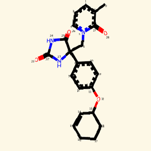 Cc1cccn(CC2(c3ccc(OC4C=CCCC4)cc3)NC(=O)NC2=O)c1=O